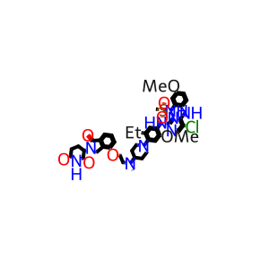 CCc1cc(Nc2ncc(Cl)c(Nc3ccc(OC)cc3NS(C)(=O)=O)n2)c(OC)cc1N1CCC(N(C)CCOc2cccc3c2CN(C2CCC(=O)NC2=O)C3=O)CC1